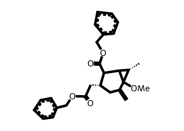 C=C1C[C@H](CC(=O)OCc2ccccc2)C(C(=O)OCc2ccccc2)C2[C@H](C)C12OC